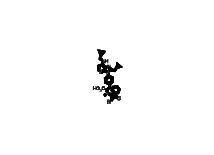 CN(C1=C(Br)C(=O)C12CCCCC2)[C@@H](Cc1ccc(-n2c(CC3CC3)nc3c(NCC4CC4)ccnc32)cc1)C(=O)O